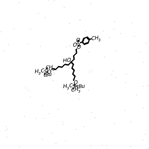 Cc1ccc(S(=O)(=O)OCCCCC(O)(CCCCCCO[Si](C)(C)C(C)(C)C)CCCCCCO[Si](C)(C)C(C)(C)C)cc1